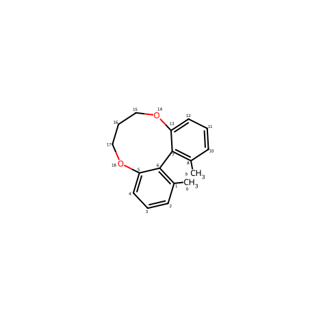 Cc1cccc2c1-c1c(C)cccc1OCCCO2